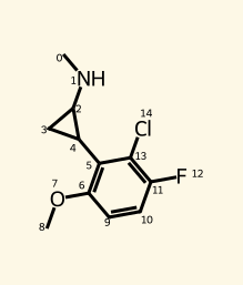 CNC1CC1c1c(OC)ccc(F)c1Cl